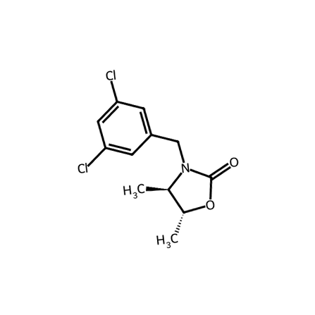 C[C@@H]1[C@@H](C)OC(=O)N1Cc1cc(Cl)cc(Cl)c1